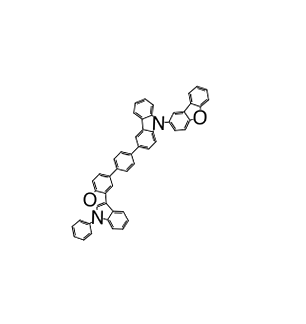 c1ccc(-n2c3ccccc3c3c4cc(-c5ccc(-c6ccc7c(c6)c6ccccc6n7-c6ccc7oc8ccccc8c7c6)cc5)ccc4oc32)cc1